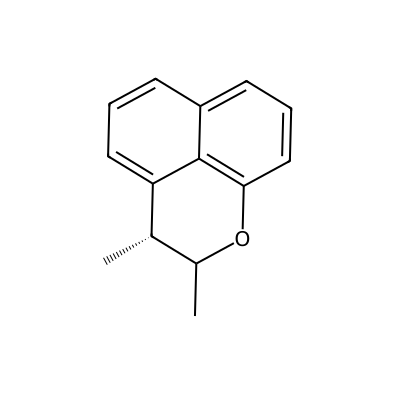 CC1Oc2cccc3cccc(c23)[C@H]1C